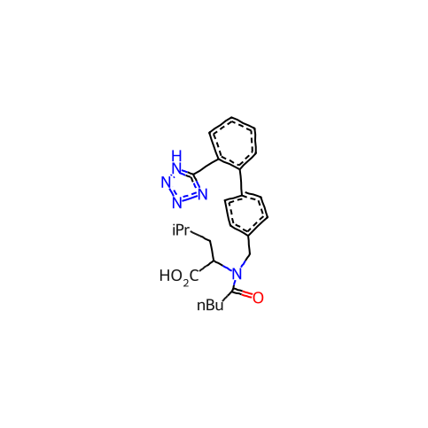 CCCCC(=O)N(Cc1ccc(-c2ccccc2-c2nnn[nH]2)cc1)C(CC(C)C)C(=O)O